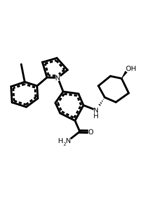 Cc1ccccc1-c1cccn1-c1ccc(C(N)=O)c(N[C@H]2CC[C@H](O)CC2)c1